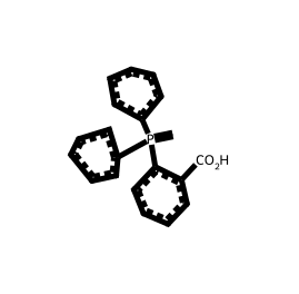 C=P(c1ccccc1)(c1ccccc1)c1ccccc1C(=O)O